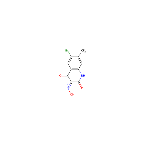 O=C1Nc2cc(C(F)(F)F)c(Br)cc2C(=O)/C1=N/O